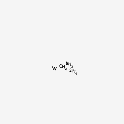 B.C.[SiH4].[W]